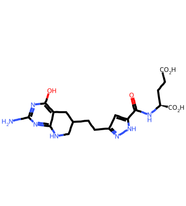 Nc1nc(O)c2c(n1)NCC(CCc1cc(C(=O)N[C@@H](CCC(=O)O)C(=O)O)[nH]n1)C2